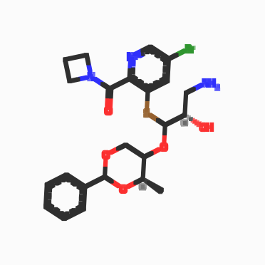 C[C@H]1OC(c2ccccc2)OCC1OC(Sc1cc(Br)cnc1C(=O)N1CCC1)[C@@H](O)CN